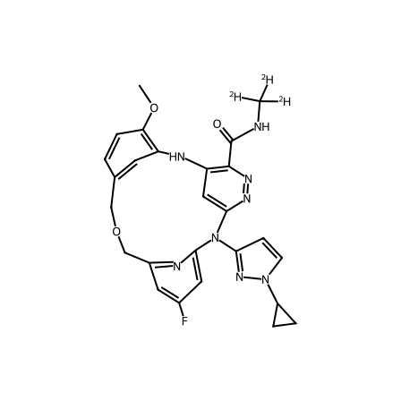 [2H]C([2H])([2H])NC(=O)c1nnc2cc1Nc1cc(ccc1OC)COCc1cc(F)cc(n1)N2c1ccn(C2CC2)n1